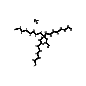 CCCCCCCC[P+](CCC)(CCCCCCCC)CCCCCCCC.[Br-]